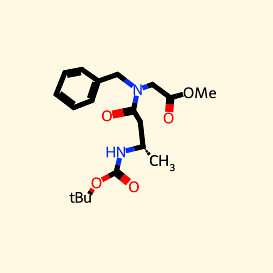 COC(=O)CN(Cc1ccccc1)C(=O)C[C@H](C)NC(=O)OC(C)(C)C